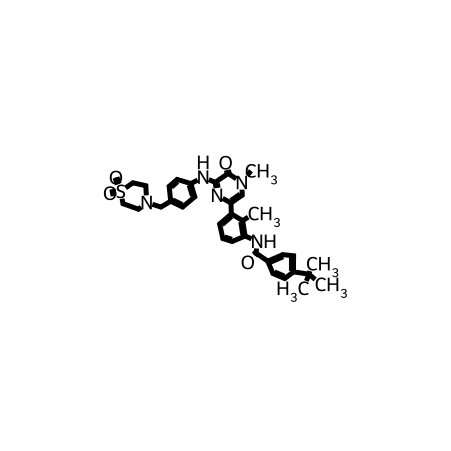 Cc1c(NC(=O)c2ccc(C(C)(C)C)cc2)cccc1-c1cn(C)c(=O)c(Nc2ccc(CN3CCS(=O)(=O)CC3)cc2)n1